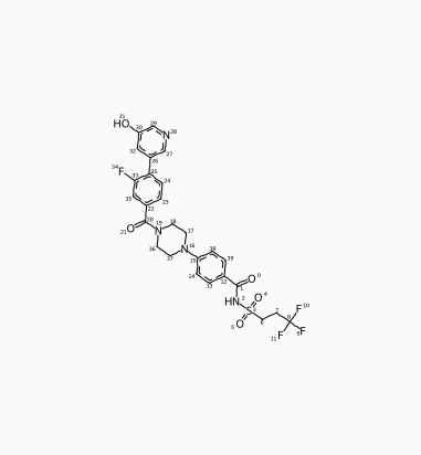 O=C(NS(=O)(=O)CCC(F)(F)F)c1ccc(N2CCN(C(=O)c3ccc(-c4cncc(O)c4)c(F)c3)CC2)cc1